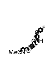 COc1ccc(CC(=O)N2CCN(C(C)C(=O)Nc3ccc(Oc4ccc(F)cc4)cn3)CC2)cn1